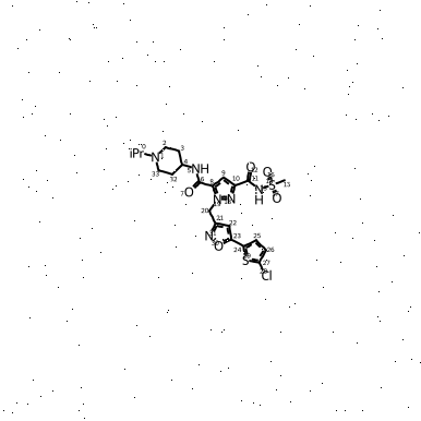 CC(C)N1CCC(NC(=O)c2cc(C(=O)NS(C)(=O)=O)nn2Cc2cc(-c3ccc(Cl)s3)on2)CC1